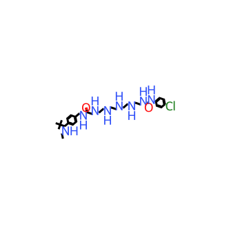 CCNC(c1ccc(CNC(=O)CNCCNCCNCCNCCNC(=O)Nc2ccc(Cl)cc2)cc1)C(C)(C)C